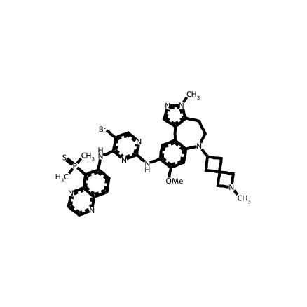 COc1cc2c(cc1Nc1ncc(Br)c(Nc3ccc4nccnc4c3P(C)(C)=S)n1)-c1cnn(C)c1CCN2C1CC2(C1)CN(C)C2